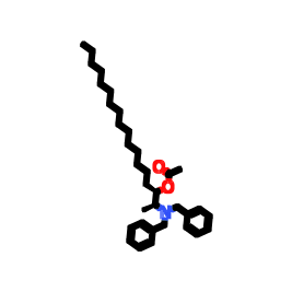 CCCCCCCCCCCCCCC[C@@H](OC(C)=O)[C@H](C)N(Cc1ccccc1)Cc1ccccc1